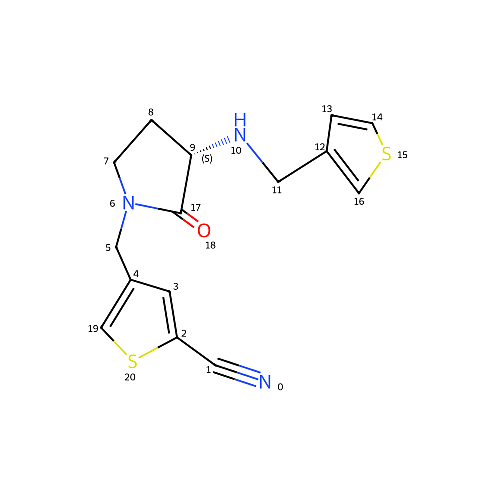 N#Cc1cc(CN2CC[C@H](NCc3ccsc3)C2=O)cs1